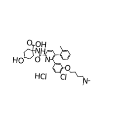 Cc1ccccc1-c1ccc(C(=O)NC2(C(=O)O)CCC(O)CC2)nc1-c1ccc(Cl)c(OCCCCN(C)C)c1.Cl